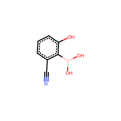 N#Cc1cccc(O)c1B(O)O